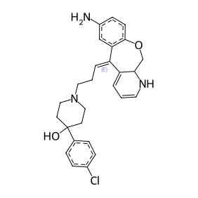 Nc1ccc2c(c1)/C(=C/CCN1CCC(O)(c3ccc(Cl)cc3)CC1)C1=CC=CNC1CO2